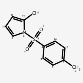 Cc1ccc(S(=O)(=O)n2cccc2Cl)cc1